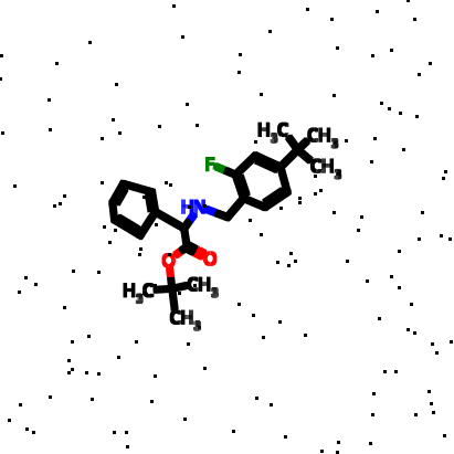 CC(C)(C)OC(=O)C(NCc1ccc(C(C)(C)C)cc1F)c1ccccc1